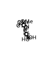 COC(=O)c1cc2c(cc1OC)ncn2Cc1ccc(B(O)O)cc1